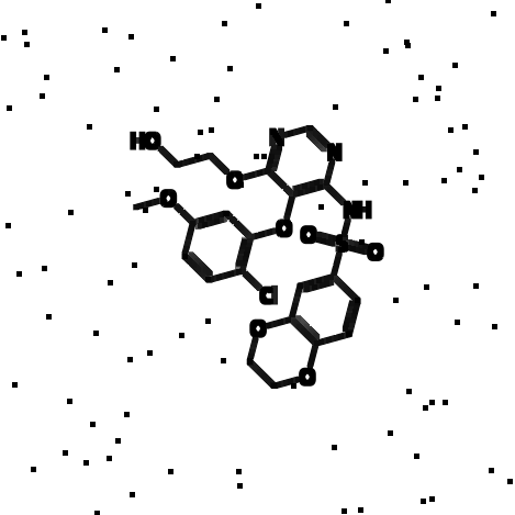 COc1ccc(Cl)c(Oc2c(NS(=O)(=O)c3ccc4c(c3)OCCO4)ncnc2OCCO)c1